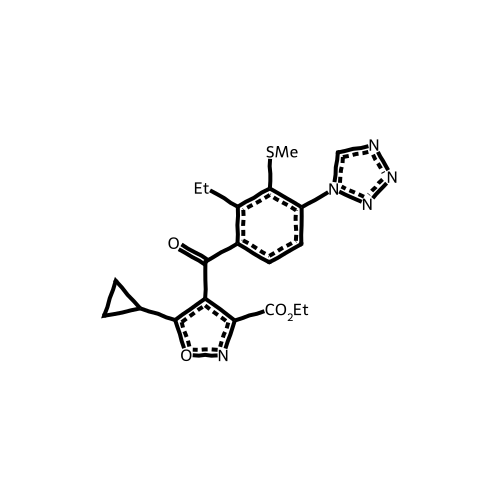 CCOC(=O)c1noc(C2CC2)c1C(=O)c1ccc(-n2cnnn2)c(SC)c1CC